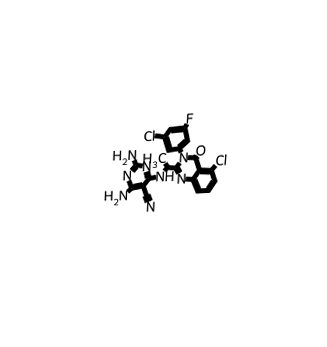 CC(Nc1nc(N)nc(N)c1C#N)c1nc2cccc(Cl)c2c(=O)n1-c1cc(F)cc(Cl)c1